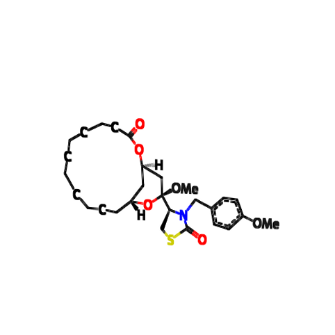 COc1ccc(CN2C(=O)SC[C@H]2[C@@]2(OC)C[C@H]3C[C@@H](CCCCCCCCCCC(=O)O3)O2)cc1